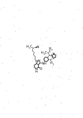 Cc1cc(Nc2nn(CCCCC[C@@H](C)C#N)c3cc[nH]c(=O)c23)ccc1C(C(C)C)n1nccn1